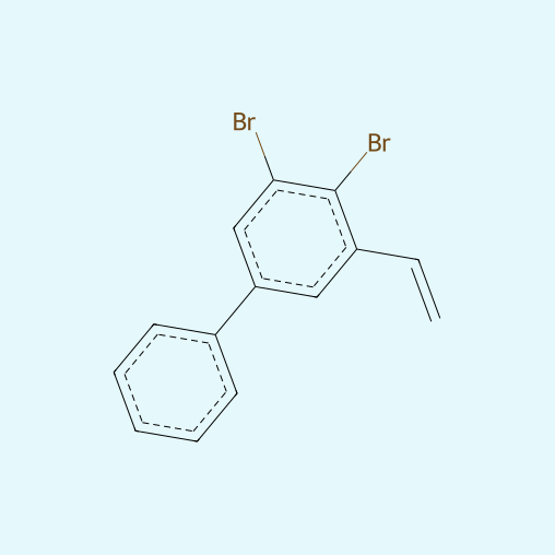 C=Cc1cc(-c2ccccc2)cc(Br)c1Br